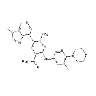 CNc1nc(Nc2cnc(N3CCOCC3)c(C)c2)c(C(=O)OC)nc1-c1cncc2c1ncn2C